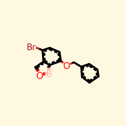 Brc1ccc(OCc2ccccc2)c2bocc12